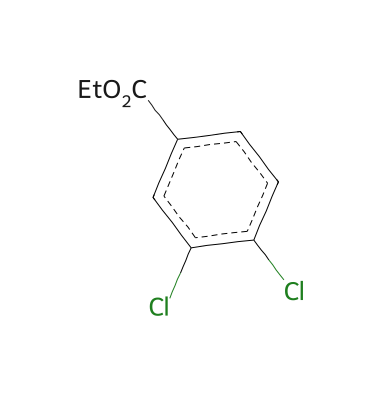 [CH2]COC(=O)c1ccc(Cl)c(Cl)c1